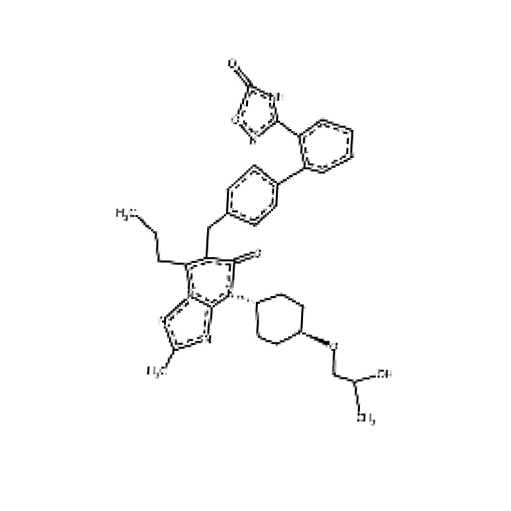 CCCc1c(Cc2ccc(-c3ccccc3-c3noc(=O)[nH]3)cc2)c(=O)n([C@H]2CC[C@H](OCC(C)O)CC2)c2nc(C)nn12